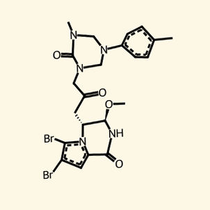 CO[C@H]1NC(=O)c2cc(Br)c(Br)n2[C@@H]1CC(=O)CN1CN(c2ccc(C)cc2)CN(C)C1=O